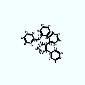 c1ccc(-c2nnn(P(c3ccccc3)c3ccccc3)c2-c2ccccc2)cc1